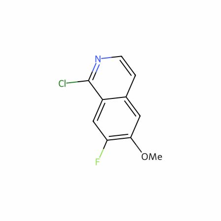 COc1cc2ccnc(Cl)c2cc1F